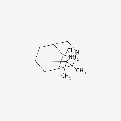 CC1(N)C2CC3CC1CN(C2)C3(C)C